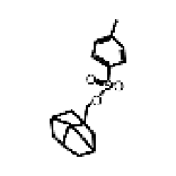 Cc1ccc(S(=O)(=O)OCC23CC4CC(CC(C4)C2)C3)cc1